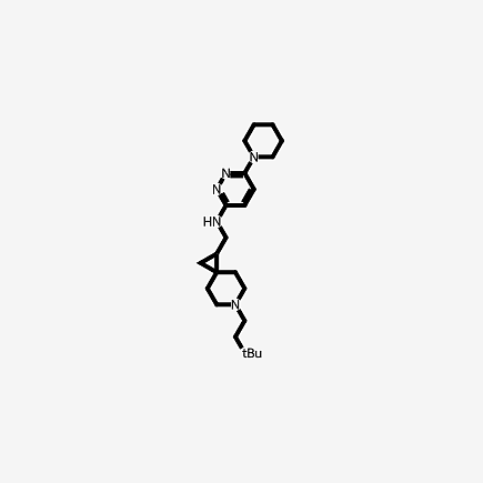 CC(C)(C)CCN1CCC2(CC1)CC2CNc1ccc(N2CCCCC2)nn1